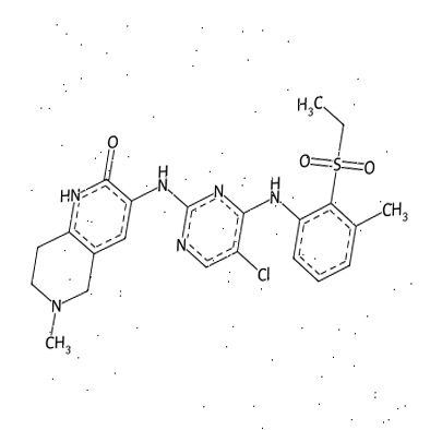 CCS(=O)(=O)c1c(C)cccc1Nc1nc(Nc2cc3c([nH]c2=O)CCN(C)C3)ncc1Cl